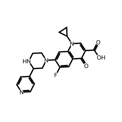 O=C(O)c1cn(C2CC2)c2cc(N3CCNC(c4ccncc4)C3)c(F)cc2c1=O